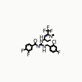 C=N/C(=C\C(CC)N/C(=N\C(=O)c1ccc(F)c(F)c1)NCc1ccc(F)cc1Cl)C(F)(F)F